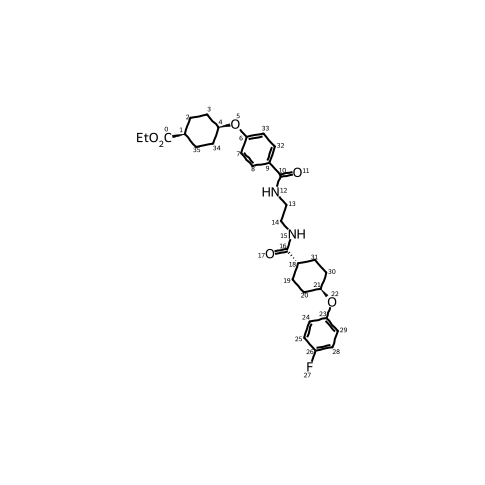 CCOC(=O)[C@H]1CC[C@@H](Oc2ccc(C(=O)NCCNC(=O)[C@H]3CC[C@H](Oc4ccc(F)cc4)CC3)cc2)CC1